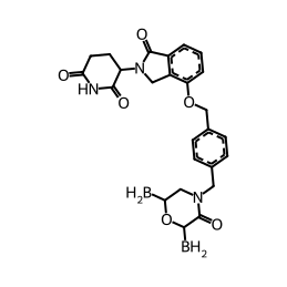 BC1CN(Cc2ccc(COc3cccc4c3CN(C3CCC(=O)NC3=O)C4=O)cc2)C(=O)C(B)O1